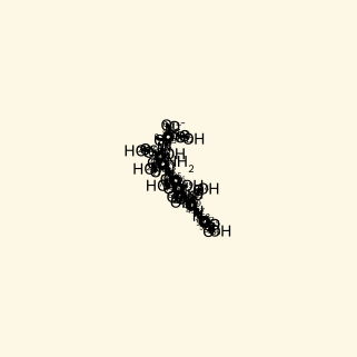 COc1cc([N+](=O)[O-])c(SOOO)cc1N=Nc1c(SOOO)cc2c(S(=O)(=O)O)cc(N=Nc3ccc4c(O)c(N=Nc5ccc(N=Nc6ccc(S(=O)(=O)O)cc6)cc5SOOO)c(S(=O)(=O)O)cc4c3S(=O)(=O)O)c(N)c2c1O